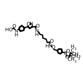 CC1(C)OB(c2ccc(CONC(=O)CCCCCCNC(=O)c3cc(-c4ccc(NC(=O)O)cc4)on3)cc2)OC1(C)C